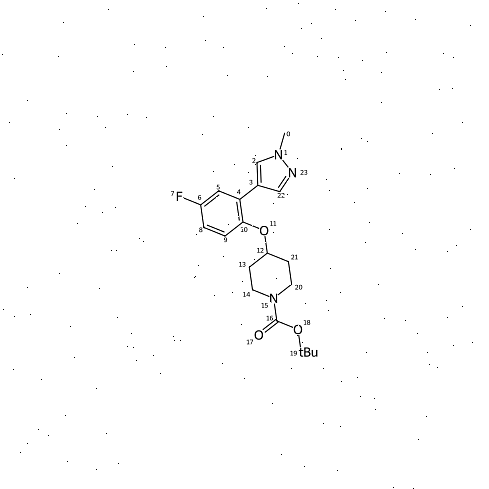 Cn1cc(-c2cc(F)ccc2OC2CCN(C(=O)OC(C)(C)C)CC2)cn1